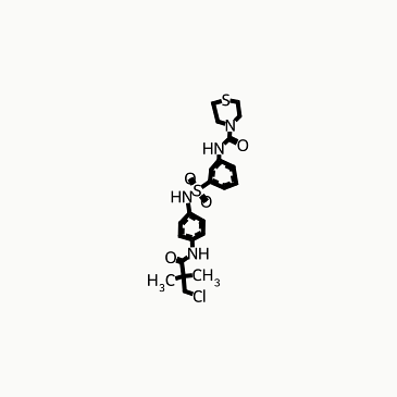 CC(C)(CCl)C(=O)Nc1ccc(NS(=O)(=O)c2cccc(NC(=O)N3CCSCC3)c2)cc1